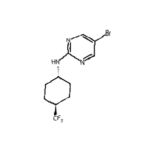 FC(F)(F)[C@H]1CC[C@H](Nc2ncc(Br)cn2)CC1